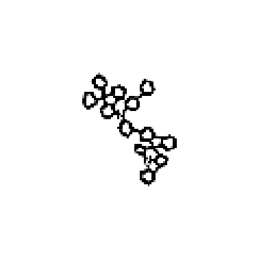 c1ccc(-c2ccc(N(c3cccc(-c4ccc5c(c4)C4(c6ccccc6-5)c5ccccc5-n5c6ccccc6c6cccc4c65)c3)c3cccc4c3-c3ccccc3C4(c3ccccc3)c3ccccc3)cc2)cc1